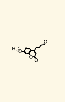 COc1ccc2c(CCCC=O)cc(=O)oc2c1